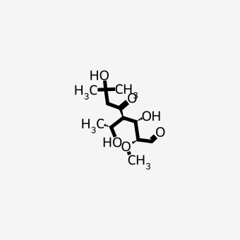 CO[C@@H](C=O)[C@@H](O)[C@H](C(=O)CC(C)(C)O)[C@@H](C)O